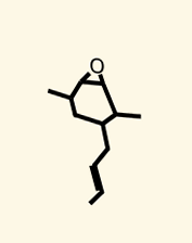 CC=CCC1CC(C)C2OC2C1C